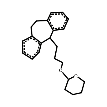 c1ccc2c(c1)CCc1ccccc1C2CCCOC1CCCCO1